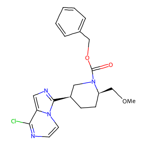 COC[C@H]1CC[C@@H](c2ncc3c(Cl)nccn23)CN1C(=O)OCc1ccccc1